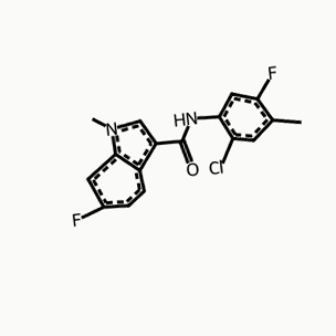 Cc1cc(Cl)c(NC(=O)c2cn(C)c3cc(F)ccc23)cc1F